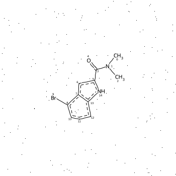 CN(C)C(=O)c1cc2c(Br)cccc2[nH]1